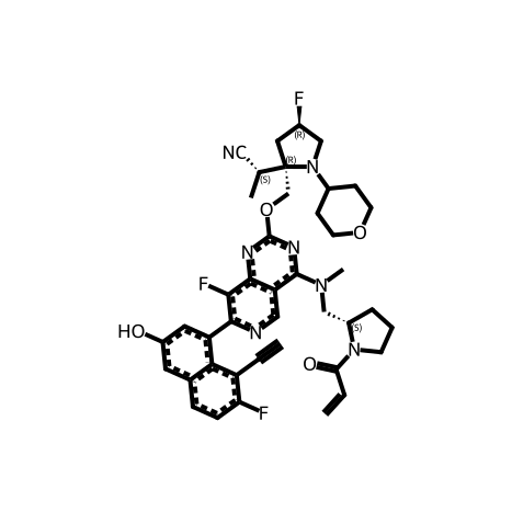 C#Cc1c(F)ccc2cc(O)cc(-c3ncc4c(N(C)C[C@@H]5CCCN5C(=O)C=C)nc(OC[C@]5([C@H](C)C#N)C[C@@H](F)CN5C5CCOCC5)nc4c3F)c12